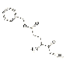 C=CC(=O)C(N)CCC(=O)OCc1ccccc1